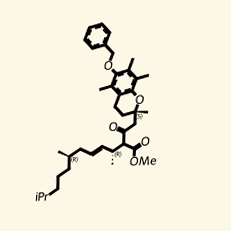 COC(=O)C(C(=O)C[C@]1(C)CCc2c(C)c(OCc3ccccc3)c(C)c(C)c2O1)[C@H](C)C=CC[C@H](C)CCCC(C)C